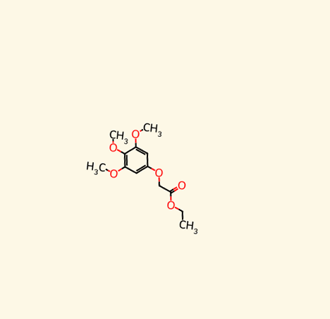 CCOC(=O)COc1cc(OC)c(OC)c(OC)c1